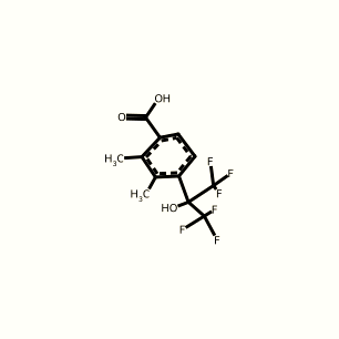 Cc1c(C(=O)O)ccc(C(O)(C(F)(F)F)C(F)(F)F)c1C